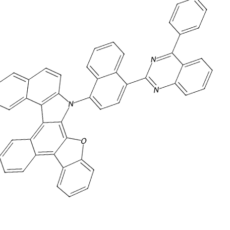 c1ccc(-c2nc(-c3ccc(-n4c5ccc6ccccc6c5c5c6ccccc6c6c7ccccc7oc6c54)c4ccccc34)nc3ccccc23)cc1